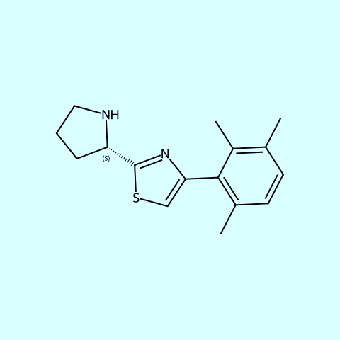 Cc1ccc(C)c(-c2csc([C@@H]3CCCN3)n2)c1C